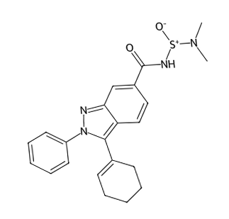 CN(C)[S+]([O-])NC(=O)c1ccc2c(C3=CCCCC3)n(-c3ccccc3)nc2c1